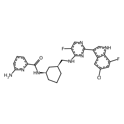 Nc1cccc(C(=O)N[C@@H]2CCC[C@H](CNc3nc(-c4c[nH]c5c(F)cc(Cl)cc45)ncc3F)C2)n1